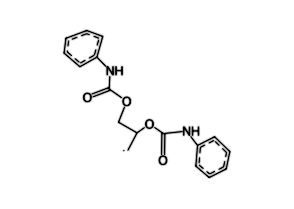 [CH2]C(COC(=O)Nc1ccccc1)OC(=O)Nc1ccccc1